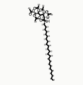 CCCCCCCCCCCCCCCCCCCCCCCCNC(=O)[C@@H](OC(C)=O)[C@H](OC(C)=O)[C@@H](OC(C)=O)[C@@H](COC(C)=O)OC(C)=O